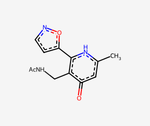 CC(=O)NCc1c(-c2ccno2)[nH]c(C)cc1=O